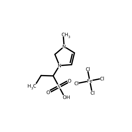 CCC(N1C=CN(C)C1)S(=O)(=O)O.[Cl][Fe]([Cl])([Cl])[Cl]